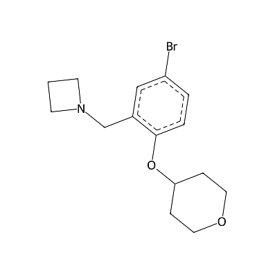 Brc1ccc(OC2CCOCC2)c(CN2CCC2)c1